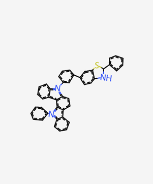 c1ccc(C2Nc3ccc(-c4cccc(-n5c6ccccc6c6c5ccc5c7ccccc7n(-c7ccccc7)c56)c4)cc3S2)cc1